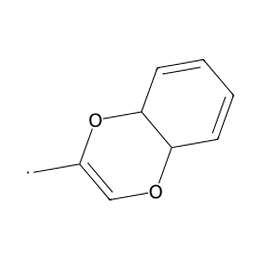 [CH2]C1=COC2C=CC=CC2O1